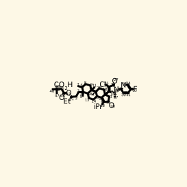 CCC(CCC1(C)C(C)CCC2(C)C1CCC1C3=C(C(C)C)C(=O)CC3(c3c(Cl)c(=O)n(-c4ccc(F)cn4)n3C)CC[C@]12C)OC(=O)CC(C)(C)C(=O)O